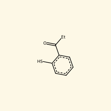 CCC(=O)c1ccccc1S